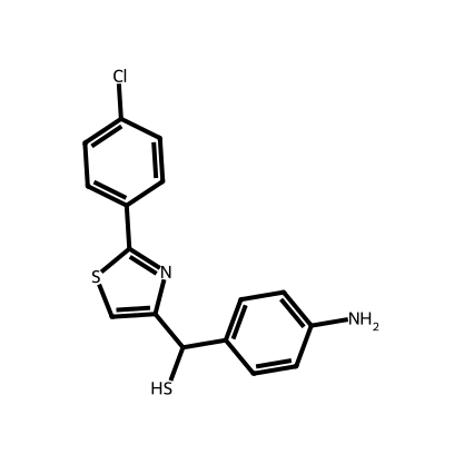 Nc1ccc(C(S)c2csc(-c3ccc(Cl)cc3)n2)cc1